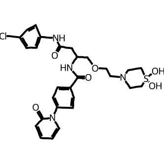 O=C(CC(COCCN1CCS(O)(O)CC1)NC(=O)c1ccc(-n2ccccc2=O)cc1)Nc1ccc(Cl)cc1